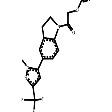 Cn1nc(C(F)(F)F)cc1-c1ccc2c(c1)CCN2C(=O)COC=O